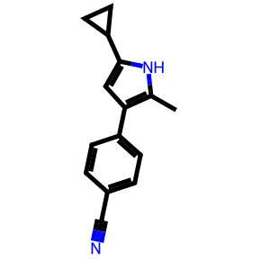 Cc1[nH]c(C2CC2)cc1-c1ccc(C#N)cc1